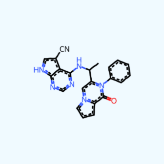 CC(Nc1ncnc2[nH]cc(C#N)c12)c1cn2cccc2c(=O)n1-c1ccccc1